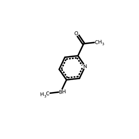 CBc1ccc(C(C)=O)nc1